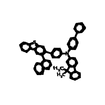 CC1(C)c2ccccc2-c2ccc(N(c3ccc(-c4ccccc4)cc3)c3ccc(-c4cc5sc6ccccc6c5cc4-c4cccc5ccccc45)cc3)cc21